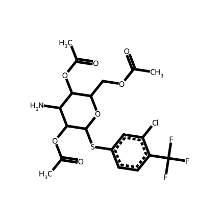 CC(=O)OCC1OC(Sc2ccc(C(F)(F)F)c(Cl)c2)C(OC(C)=O)C(N)C1OC(C)=O